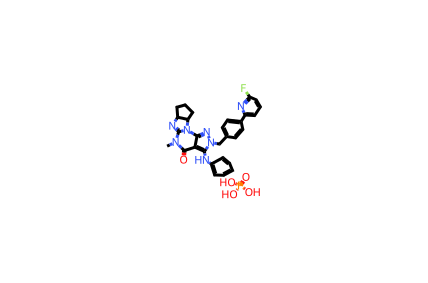 CN1C(=O)c2c(nn(Cc3ccc(-c4cccc(F)n4)cc3)c2Nc2ccccc2)N2C1=NC1CCCC12.O=P(O)(O)O